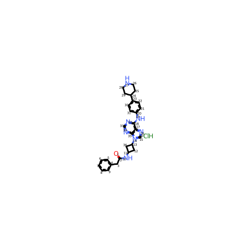 Cl.O=C(Cc1ccccc1)NC1CC(n2cnc3c(Nc4ccc(C5CCNCC5)cc4)ncnc32)C1